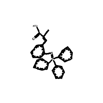 CC(=Cc1ccccc1N=P(c1ccccc1)(c1ccccc1)c1ccccc1)C(=O)O